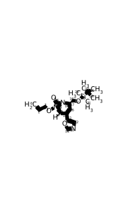 C=CCON1C(=O)N2C[C@H]1C(c1cnco1)=C[C@@H]2CO[Si](C)(C)C(C)(C)C